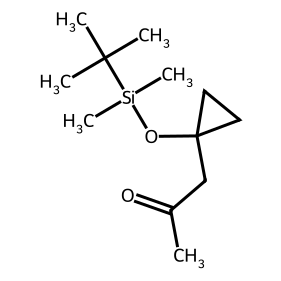 CC(=O)CC1(O[Si](C)(C)C(C)(C)C)CC1